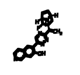 C=C(c1ncc(-c2cc3ccncc3cc2O)nn1)[C@H]1C[C@@H]2C=C[C@@H](N2)[C@@H]1F